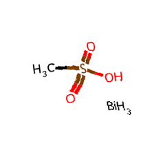 CS(=O)(=O)O.[BiH3]